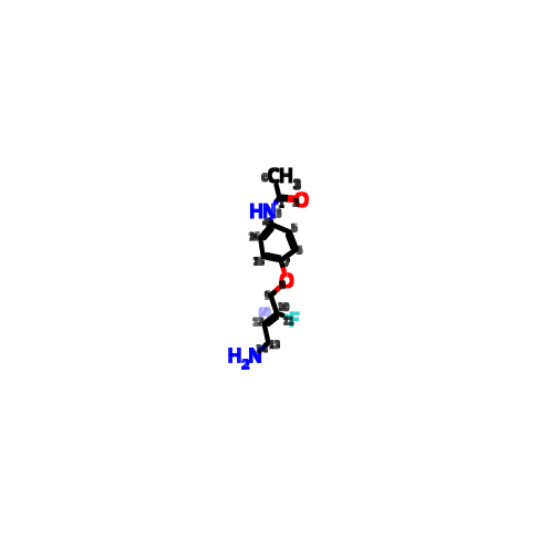 CC(=O)Nc1ccc(OC/C(F)=C/CN)cc1